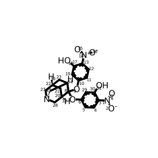 O=[N+]([O-])c1ccc(OC2(Oc3ccc([N+](=O)[O-])c(O)c3)[C@@H]3C[C@H]4C[C@H]2C[N@](C4)C3)cc1O